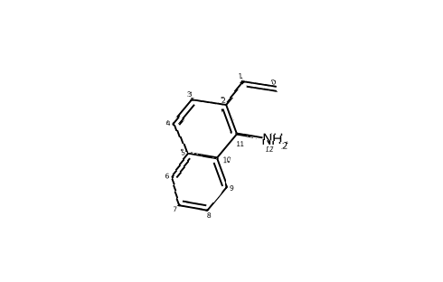 C=Cc1ccc2ccccc2c1N